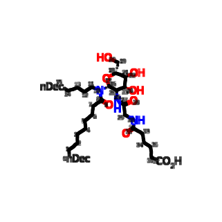 CCCCCCCCCCCCCCCCCC(=O)N(CCCCCCCCCCCCCC)[C@@H]1O[C@H](CO)[C@@H](O)[C@H](O)[C@H]1NC(=O)CNC(=O)CCCCC(=O)O